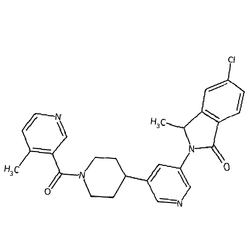 Cc1ccncc1C(=O)N1CCC(c2cncc(N3C(=O)c4ccc(Cl)cc4C3C)c2)CC1